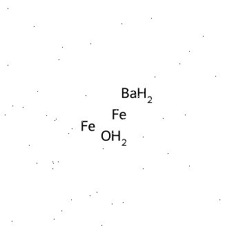 O.[BaH2].[Fe].[Fe]